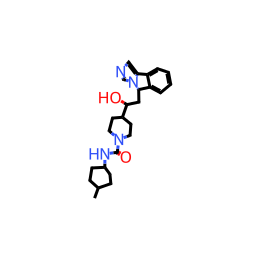 CC1CCC(NC(=O)N2CCC(C(O)CC3c4ccccc4-c4cncn43)CC2)CC1